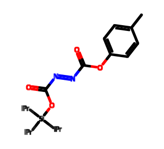 Cc1ccc(OC(=O)/N=N/C(=O)O[Si](C(C)C)(C(C)C)C(C)C)cc1